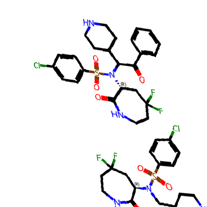 O=C(c1ccccc1)C(C1CCNCC1)N([C@@H]1CC(F)(F)CCNC1=O)S(=O)(=O)c1ccc(Cl)cc1.O=C1NCCC(F)(F)C[C@H]1N(CC1CCNCC1)S(=O)(=O)c1ccc(Cl)cc1